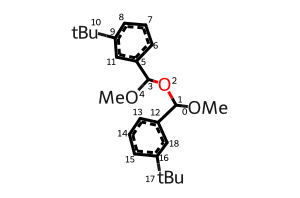 COC(OC(OC)c1cccc(C(C)(C)C)c1)c1cccc(C(C)(C)C)c1